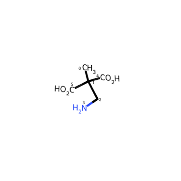 CC(CN)(C(=O)O)C(=O)O